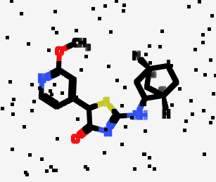 COc1cc(C2SC(NC3C[C@@H]4CC[C@H]3C4)=NC2=O)ccn1